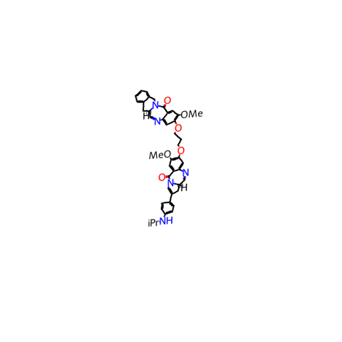 COc1cc2c(cc1OCCCOc1cc3c(cc1OC)C(=O)N1Cc4ccccc4C[C@H]1C=N3)N=C[C@@H]1CC(c3ccc(NC(C)C)cc3)=CN1C2=O